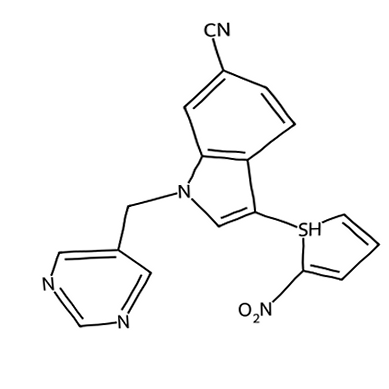 N#Cc1ccc2c([SH]3C=CC=C3[N+](=O)[O-])cn(Cc3cncnc3)c2c1